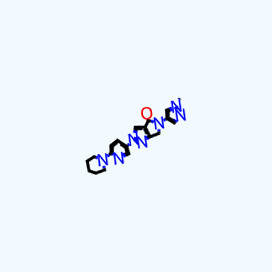 Cn1cc(N2Cc3nn(-c4ccc(N5CCCCC5)nc4)cc3C2=O)cn1